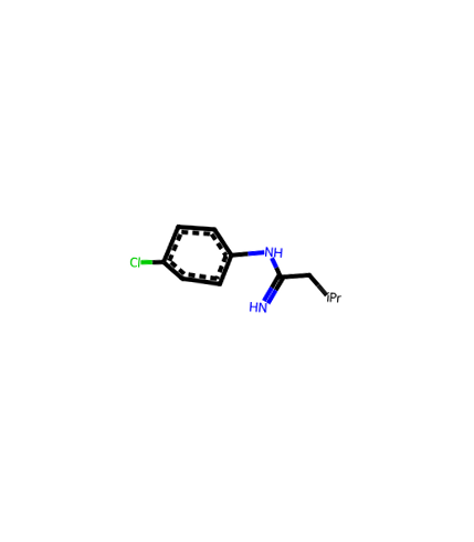 CC(C)CC(=N)Nc1ccc(Cl)cc1